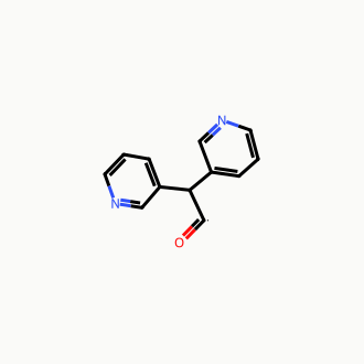 O=[C]C(c1cccnc1)c1cccnc1